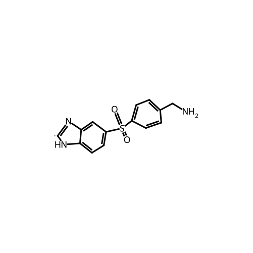 NCc1ccc(S(=O)(=O)c2ccc3[nH][c]nc3c2)cc1